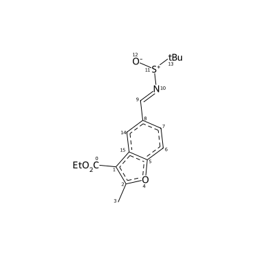 CCOC(=O)c1c(C)oc2ccc(/C=N/[S+]([O-])C(C)(C)C)cc12